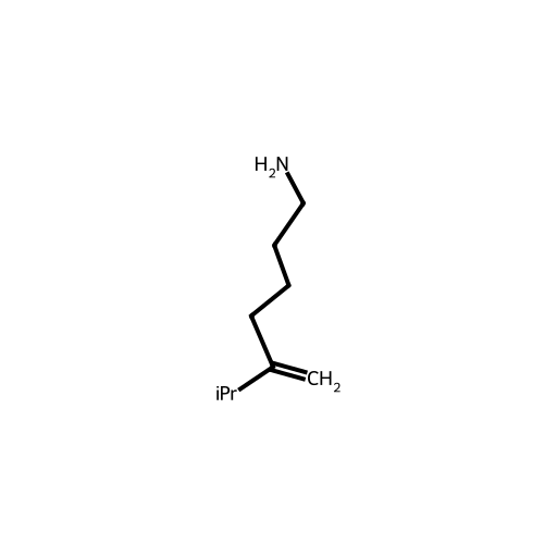 C=C(CCCCN)C(C)C